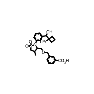 CCCC1(C(O)c2cccc(N3C(COCc4cccc(C(=O)O)c4)C(C)CS3(=O)=O)c2)CCC1